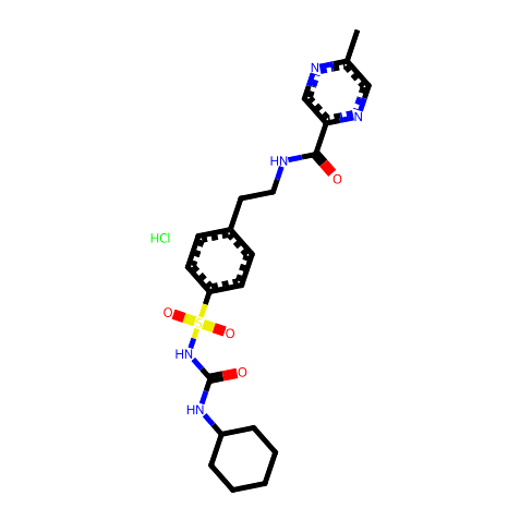 Cc1cnc(C(=O)NCCc2ccc(S(=O)(=O)NC(=O)NC3CCCCC3)cc2)cn1.Cl